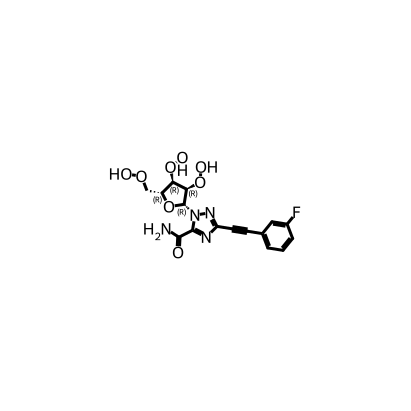 NC(=O)c1nc(C#Cc2cccc(F)c2)nn1[C@@H]1O[C@H](COO)[C@@H](OO)[C@H]1OO